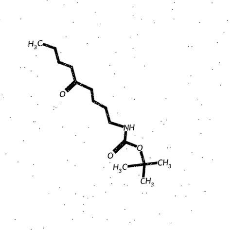 CCCCC(=O)CCCCNC(=O)OC(C)(C)C